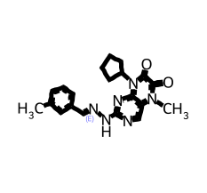 Cc1cccc(/C=N/Nc2ncc3c(n2)n(C2CCCC2)c(=O)c(=O)n3C)c1